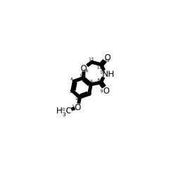 COc1ccc2c(c1)C(=O)NC(=O)CO2